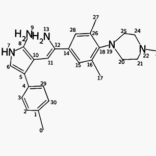 Cc1ccc(-c2c[nH]c(N)c2/C=C(\N)c2cc(C)c(N3CCN(C)CC3)c(C)c2)cc1